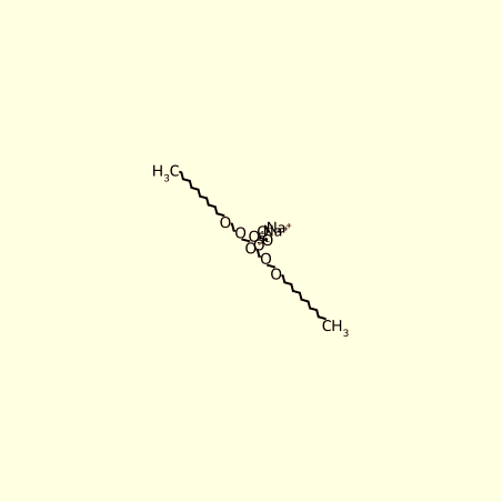 CCCCCCCCCCCCOCCOCCOCCOCCOCCCCCCCCCCCC.O=S(=O)([O-])[O-].[Na+].[Na+]